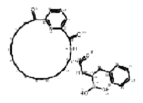 O=C1CCCCCCCCCCC[C@@H](C(=O)N[C@@H](Cc2ccccc2)B(O)O)NC(=O)c2cncc1n2